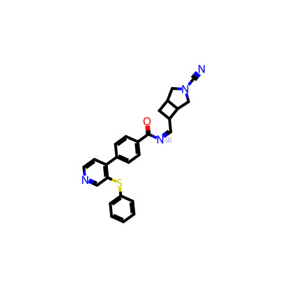 N#CN1CC2CC(/C=N\C(=O)c3ccc(-c4ccncc4Sc4ccccc4)cc3)C2C1